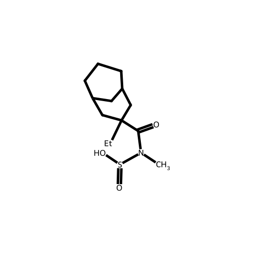 CCC1(C(=O)N(C)S(=O)O)CC2CCCC(C2)C1